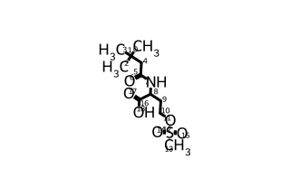 CC(C)(C)CC(=O)NC(CCOS(C)(=O)=O)C(=O)O